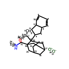 C[SiH](C)C1(C2CC3C=CC=CC3C2)C2CC3CC(C2)CC1(C(=O)[NH][Ti+2])C3.[Cl-].[Cl-]